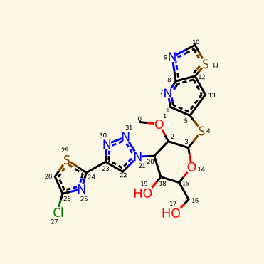 COC1C(Sc2cnc3ncsc3c2)OC(CO)C(O)C1n1cc(-c2nc(Cl)cs2)nn1